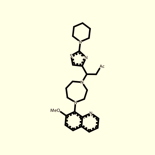 COc1ccc2cccnc2c1N1CCCN(C(CC(C)=O)c2csc(N3CCCCC3)n2)CC1